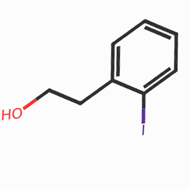 OCCc1ccccc1I